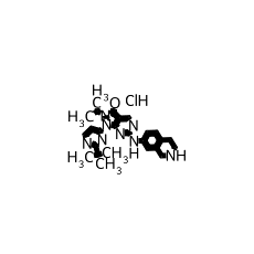 CC(C)n1c(=O)c2cnc(Nc3ccc4c(c3)CNCC4)nc2n1-c1ccnc(C(C)(C)C)n1.Cl